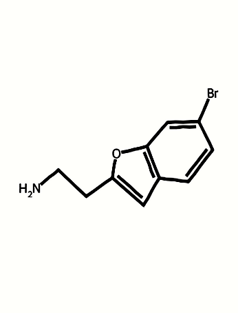 NCCc1cc2ccc(Br)cc2o1